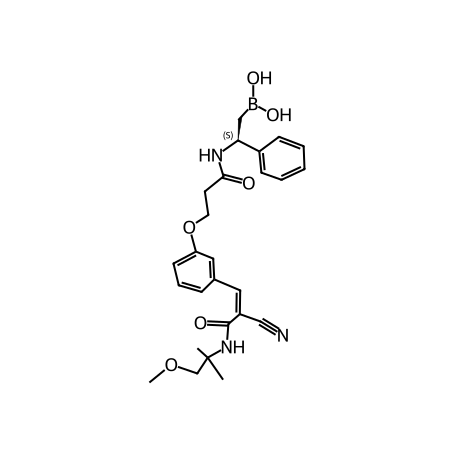 COCC(C)(C)NC(=O)C(C#N)=Cc1cccc(OCCC(=O)N[C@@H](CB(O)O)c2ccccc2)c1